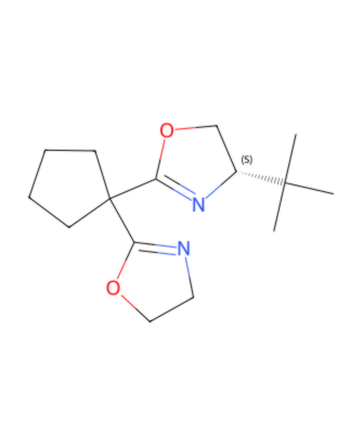 CC(C)(C)[C@H]1COC(C2(C3=NCCO3)CCCC2)=N1